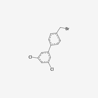 Clc1cc(Cl)cc(-c2ccc(CBr)cc2)c1